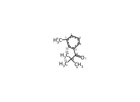 Cc1cccc(C(=O)C(C)(C)C)c1